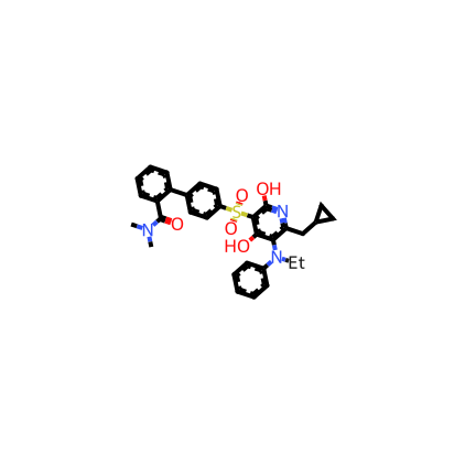 CCN(c1ccccc1)c1c(CC2CC2)nc(O)c(S(=O)(=O)c2ccc(-c3ccccc3C(=O)N(C)C)cc2)c1O